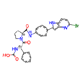 O=C(O)N[C@H](C(=O)N1CCC[C@H]1C(=O)Nc1ccc(-c2cc3nc(Br)ccc3[nH]2)cc1)c1ccccc1